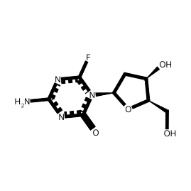 Nc1nc(F)n([C@H]2C[C@@H](O)[C@@H](CO)O2)c(=O)n1